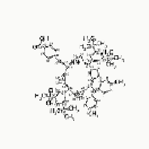 Cc1ccc(N(c2ccc(C)cc2)c2c3nc(c(-c4cc(C(C)(C)C)cc(C(C)(C)C)c4)c4ccc([nH]4)c(C#Cc4ccc(C(=O)O)cc4)c4nc(c(-c5cc(C(C)(C)C)cc(C(C)(C)C)c5)c5ccc2[nH]5)C=C4)C=C3)cc1